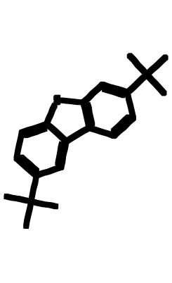 CC(C)(C)c1ccc2c(c1)sc1ccc(C(C)(C)C)cc12